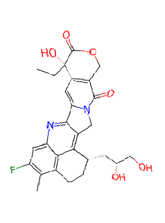 CC[C@@]1(O)C(=O)OCc2c1cc1n(c2=O)Cc2c-1nc1cc(F)c(C)c3c1c2[C@H](C[C@@H](O)CO)CC3